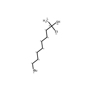 CCC(C)CCCCCCCC(C)(S)CC